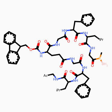 BP(C)C(=O)CNC(=O)C(CC(C)C)NC(=O)C(Cc1ccccc1)NC(=O)CNC(=O)C(CCC(=O)NCC(=O)NC(Cc1ccccc1)C(=O)NC(CC(C)C)C(=O)NCC(C)=O)NC(=O)OCC1c2ccccc2-c2ccccc21